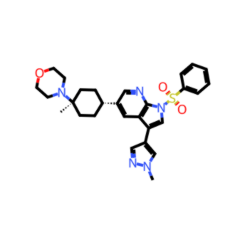 Cn1cc(-c2cn(S(=O)(=O)c3ccccc3)c3ncc([C@H]4CC[C@](C)(N5CCOCC5)CC4)cc23)cn1